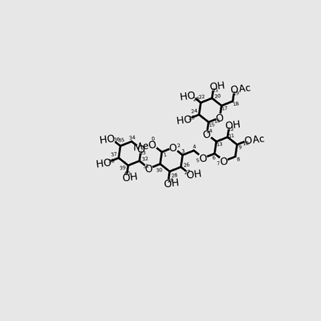 COC1OC(COC2OCC(OC(C)=O)C(O)C2OC2OC(COC(C)=O)C(O)C(O)C2O)C(O)C(O)C1OC1OCC(O)C(O)C1O